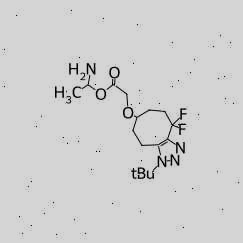 CC(N)OC(=O)COC1CCc2c(nnn2C(C)(C)C)C(F)(F)CC1